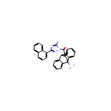 CC1(C(=O)n2nc(-c3cccc4ccccc34)nc2N)CC2([N+](=O)[O-])c3ccccc3C1c1ccccc12